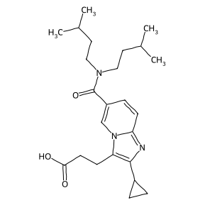 CC(C)CCN(CCC(C)C)C(=O)c1ccc2nc(C3CC3)c(CCC(=O)O)n2c1